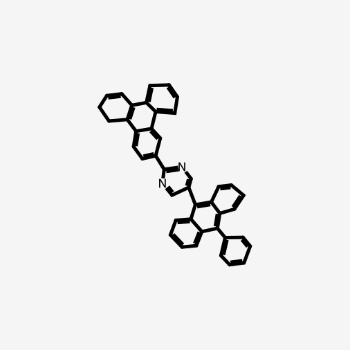 C1=Cc2c(c3ccc(-c4ncc(-c5c6ccccc6c(-c6ccccc6)c6ccccc56)cn4)cc3c3ccccc23)CC1